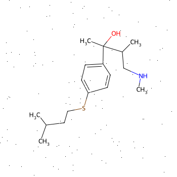 CNCC(C)C(C)(O)c1ccc(SCCC(C)C)cc1